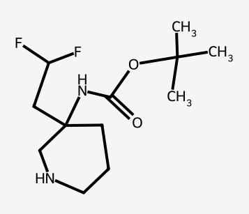 CC(C)(C)OC(=O)NC1(CC(F)F)CCCNC1